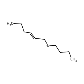 CCCC=CC[N]CCCC